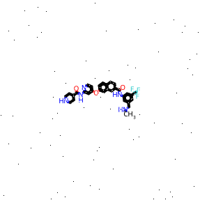 CNCc1cc(NC(=O)C2CCc3ccc(Oc4ccnc(NC(=O)C5CCNCC5)c4)cc3C2)cc(C(F)(F)F)c1